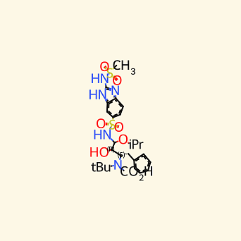 CC(C)OC(NS(=O)(=O)c1ccc2nc(NS(C)(=O)=O)[nH]c2c1)[C@H](O)[C@H](Cc1ccccc1)N(C(=O)O)C(C)(C)C